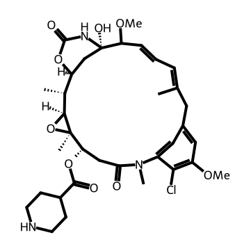 COc1cc2cc(c1Cl)N(C)C(=O)C[C@H](OC(=O)C1CCNCC1)[C@@]1(C)O[C@H]1[C@H](C)[C@@H]1C[C@@](O)(NC(=O)O1)C(OC)/C=C/C=C(\C)C2